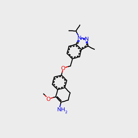 COC1=C(N)CCc2cc(OCc3ccc4c(c3)c(C)nn4C(C)C)ccc21